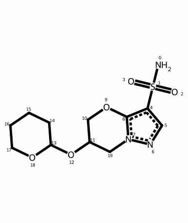 NS(=O)(=O)c1cnn2c1OCC(OC1CCCCO1)C2